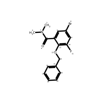 CN(C)C(=O)c1cc(Br)cc(F)c1OCc1ccccc1